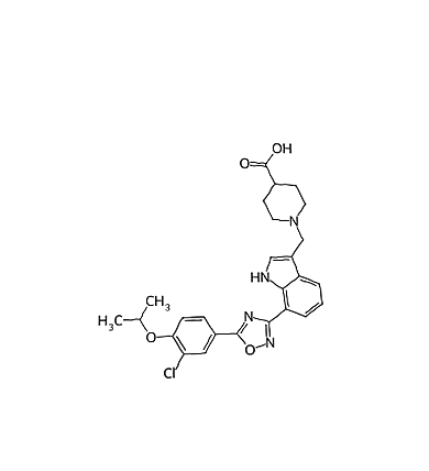 CC(C)Oc1ccc(-c2nc(-c3cccc4c(CN5CCC(C(=O)O)CC5)c[nH]c34)no2)cc1Cl